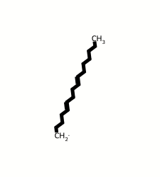 [CH2]CCCC=CCCC=CCCCCCC